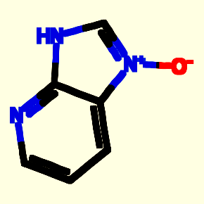 [O-][n+]1c[nH]c2ncccc21